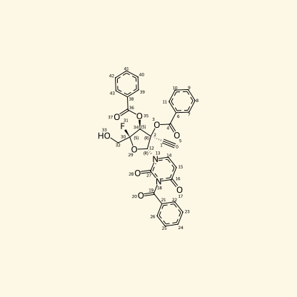 C#C[C@]1(OC(=O)c2ccccc2)[C@H](n2ccc(=O)n(C(=O)c3ccccc3)c2=O)O[C@](F)(CO)[C@H]1OC(=O)c1ccccc1